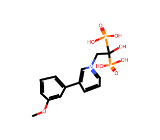 COc1cccc(-c2ccc[n+](CC(O)(P(=O)(O)O)P(=O)(O)O)c2)c1